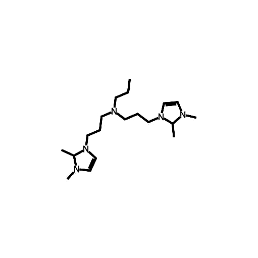 CCCN(CCCN1C=CN(C)C1C)CCCN1C=CN(C)C1C